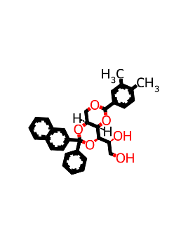 Cc1ccc(C2OC[C@@H]3OC(c4ccccc4)(c4ccc5ccccc5c4)O[C@H]([C@H](O)CO)[C@@H]3O2)cc1C